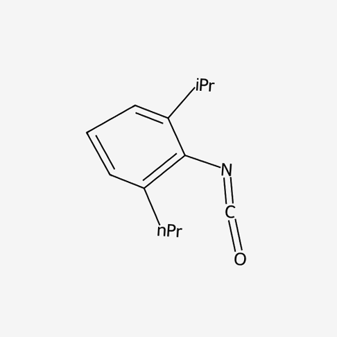 CCCc1cccc(C(C)C)c1N=C=O